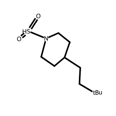 CC(C)(C)CCC1CCN([SH](=O)=O)CC1